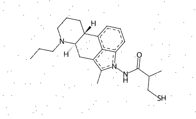 CCCN1CCC[C@@H]2c3cccc4c3c(c(C)n4NC(=O)C(C)CS)C[C@H]21